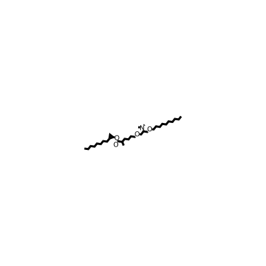 CCCCCCCCCCOCC(COCCCCC(C)C(=O)OC1CC1CCCCCCCC)N(C)C